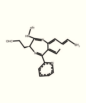 B/C=C/C=C1/N=C(NCCC)[C@H](CCC=O)N=C(c2ccccn2)/C1=C/C